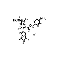 Cc1c2sc(C3=C(C(=O)OCc4ccc([N+](=O)[O-])cc4)N4C(=O)[C@H]([C@@H](C)O)[C@H]4[C@H]3C)c[n+]2c(C)n1C.[I-]